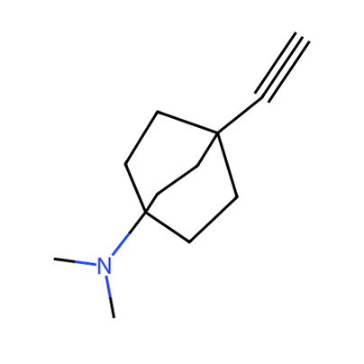 C#CC12CCC(N(C)C)(CC1)CC2